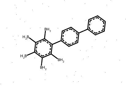 Bc1c(B)c(B)c(-c2ccc(-c3ccccc3)cc2)c(B)c1B